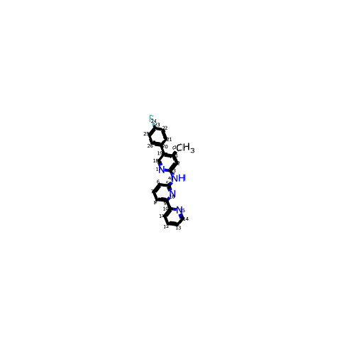 Cc1cc(Nc2cccc(-c3ccccn3)n2)ncc1-c1ccc(F)cc1